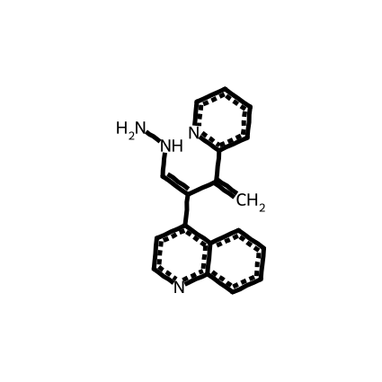 C=C(/C(=C\NN)c1ccnc2ccccc12)c1ccccn1